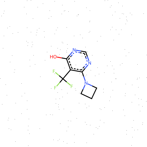 Oc1n[c]nc(N2CCC2)c1C(F)(F)F